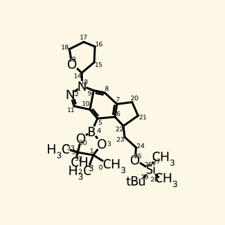 CC1(C)OB(c2c3c(cc4c2cnn4C2CCCCO2)CCC3CCO[Si](C)(C)C(C)(C)C)OC1(C)C